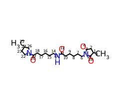 CC1CC(=O)N(CCCCCC(=O)NCCCCCC(=O)N2CC[C@H](C)C2)C1=O